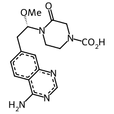 CO[C@@H](Cc1ccc2c(N)ncnc2c1)N1CCN(C(=O)O)CC1=O